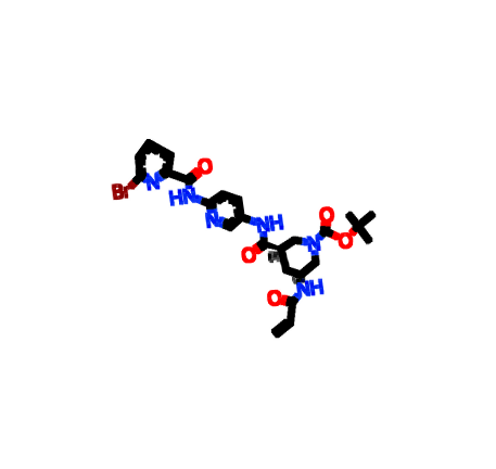 C=CC(=O)N[C@H]1C[C@@H](C(=O)Nc2ccc(NC(=O)c3cccc(Br)n3)nc2)CN(C(=O)OC(C)(C)C)C1